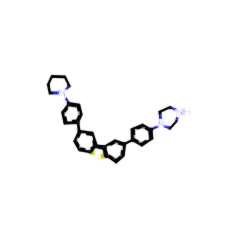 c1cc(N2CCCCC2)ccc1-c1ccc2sc3ccc(-c4ccc(N5CCNCC5)cc4)cc3c2c1